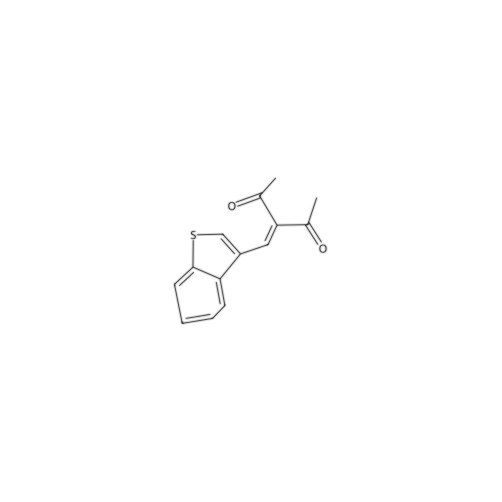 CC(=O)C(=Cc1csc2ccccc12)C(C)=O